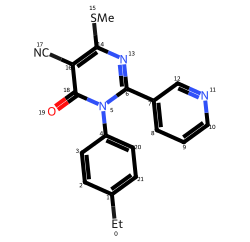 CCc1ccc(-n2c(-c3cccnc3)nc(SC)c(C#N)c2=O)cc1